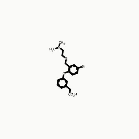 CN(C)CCSCc1cc(Br)ccc1Oc1cccc(CC(=O)O)c1